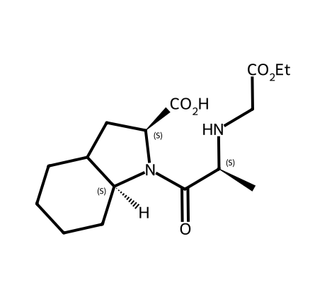 CCOC(=O)CN[C@@H](C)C(=O)N1[C@H](C(=O)O)CC2CCCC[C@@H]21